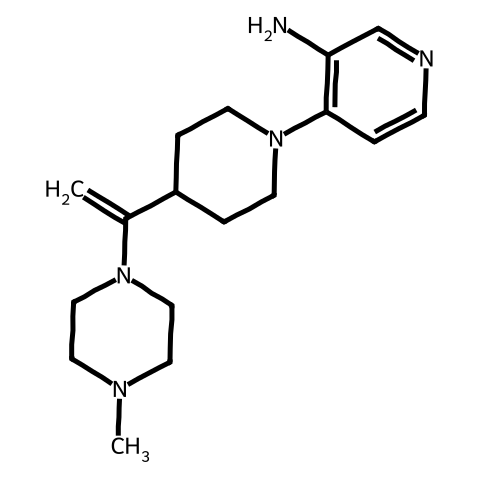 C=C(C1CCN(c2ccncc2N)CC1)N1CCN(C)CC1